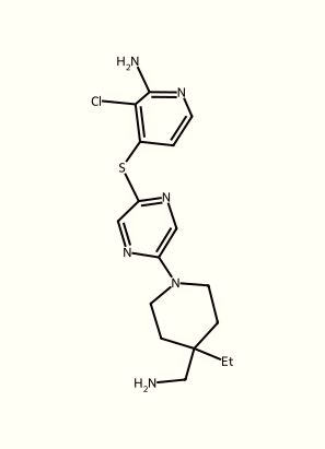 CCC1(CN)CCN(c2cnc(Sc3ccnc(N)c3Cl)cn2)CC1